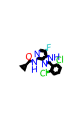 O=C(Nc1ncc(F)c2[nH]c(-c3c(Cl)cccc3Cl)nc12)C1CC1